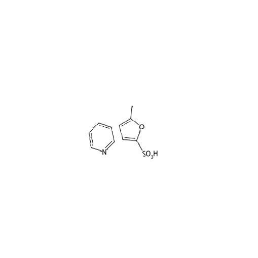 Cc1ccc(S(=O)(=O)O)o1.c1ccncc1